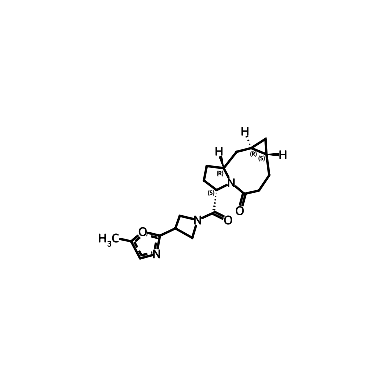 Cc1cnc(C2CN(C(=O)[C@@H]3CC[C@@H]4C[C@H]5C[C@@H]5CCC(=O)N43)C2)o1